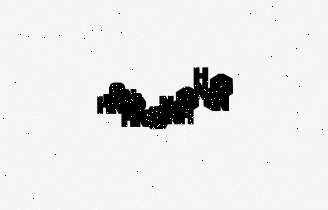 CC(=O)Nc1nccc(Nc2ccc3[nH]c(-c4ccc(Nc5ccnc6ccccc56)cc4)nc3c2)n1